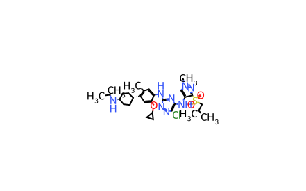 Cc1cc(Nc2nnc(Cl)c(Nc3cn(C)nc3S(=O)(=O)CC(C)C)n2)c(OC2CC2)cc1[C@H]1CC[C@@H](NC(C)C)CC1